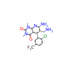 Cn1c(=O)c2c(-c3cc(C(F)(F)F)ccc3Cl)c(CN)c(N)nc2n(C)c1=O